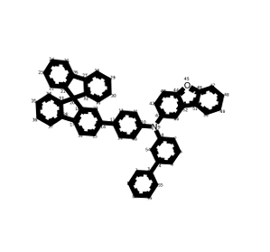 c1ccc(-c2cccc(N(c3ccc(-c4ccc5c(c4)C4(c6ccccc6-c6ccccc64)c4ccccc4-5)cc3)c3ccc4oc5ccccc5c4c3)c2)cc1